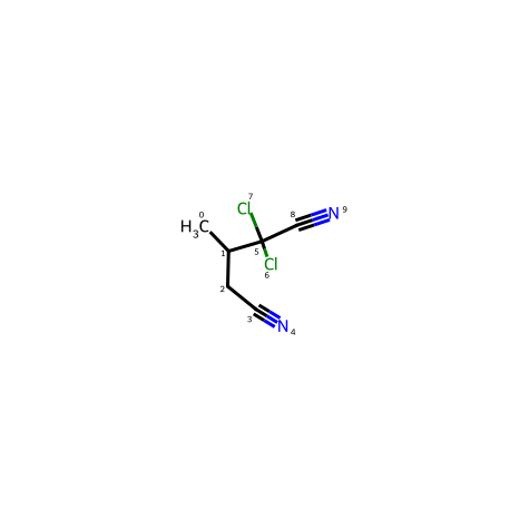 CC(CC#N)C(Cl)(Cl)C#N